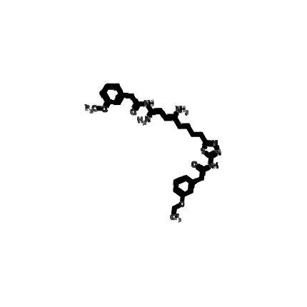 N/C(=C\C=C(/N)NC(=O)Cc1cccc(OC(F)(F)F)c1)CCCCc1nnc(NC(=O)Cc2cccc(OCC(F)(F)F)c2)s1